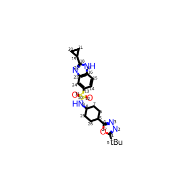 CC(C)(C)c1nnc(C2CCC(NS(=O)(=O)c3ccc4[nH]c(C5CC5)nc4c3)CC2)o1